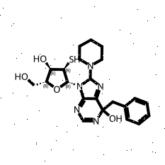 OC[C@H]1O[C@@H](N2C3=NC=NC(O)(Cc4ccccc4)C3=NC2N2CCCCC2)[C@H](S)[C@@H]1O